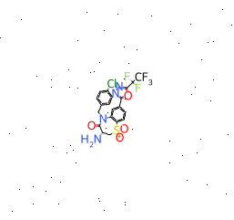 N[C@H]1CS(=O)(=O)c2ccc(-c3nnc(C(F)(F)C(F)(F)F)o3)cc2N(Cc2ccc(Cl)cc2)C1=O